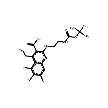 CCc1c(C(=O)O)c(NCCNC(=O)OC(C)(C)C)nc2cc(F)c(Br)c(F)c12